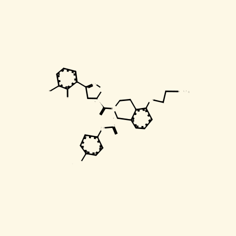 COCCOc1cccc2c1CCN(C(=O)[C@H]1CC(c3cccc(Cl)c3F)=NO1)[C@H]2C(=O)Nc1ccc(C(=O)O)cc1